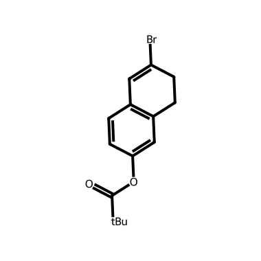 CC(C)(C)C(=O)Oc1ccc2c(c1)CCC(Br)=C2